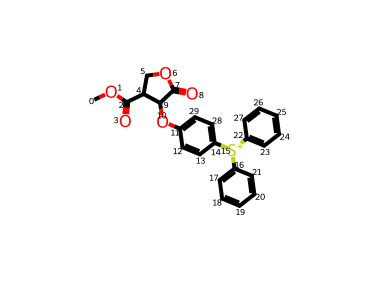 COC(=O)C1COC(=O)C1Oc1ccc([S+](c2ccccc2)c2ccccc2)cc1